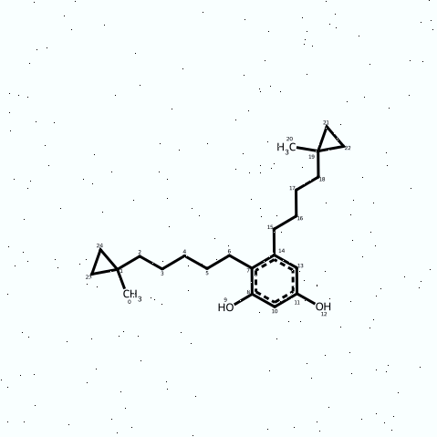 CC1(CCCCCc2c(O)cc(O)cc2CCCCC2(C)CC2)CC1